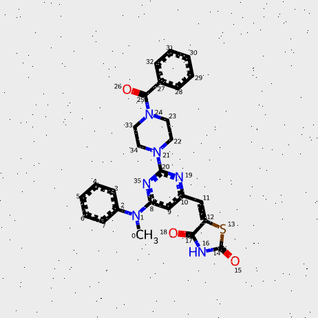 CN(c1ccccc1)c1cc(C=C2SC(=O)NC2=O)nc(N2CCN(C(=O)c3ccccc3)CC2)n1